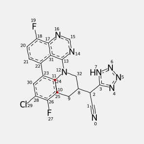 N#CC(c1nnn[nH]1)C1CCCN(c2ncnc3c(F)ccc(-c4ccc(F)c(Cl)c4)c23)C1